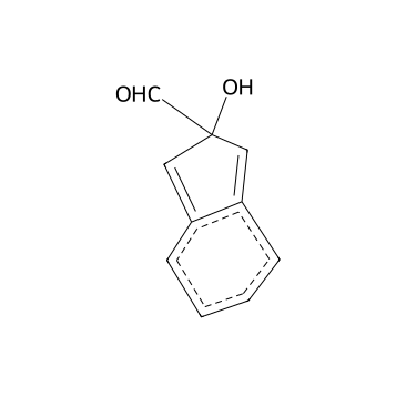 O=CC1(O)C=c2ccccc2=C1